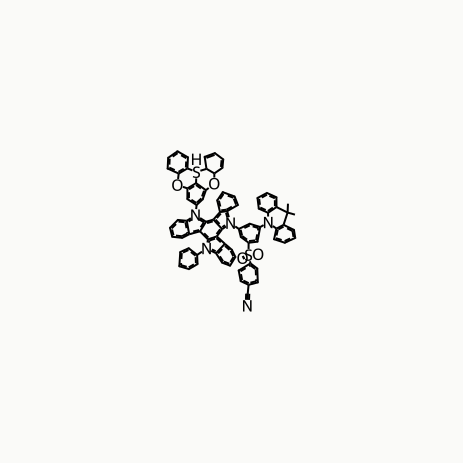 CC1(C)c2ccccc2N(c2cc(-n3c4ccccc4c4c3c3c5ccccc5n(-c5ccccc5)c3c3c5ccccc5n(-c5cc6c7c(c5)OC5C=CC=CC5[SH]7c5ccccc5O6)c34)cc(S(=O)(=O)c3ccc(C#N)cc3)c2)c2ccccc21